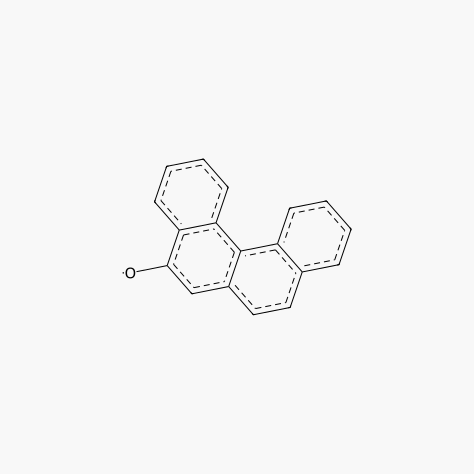 [O]c1cc2ccc3ccccc3c2c2ccccc12